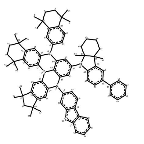 CC1(C)CCC(C)(C)c2cc(N3c4cc5c(cc4B4c6cc7c(cc6N(c6ccc8c(c6)sc6ccccc68)c6cc(N8c9ccc(-c%10ccccc%10)cc9C9(C)CCCCC89C)cc3c64)C(C)(C)CC7(C)C)C(C)(C)CCC5(C)C)ccc21